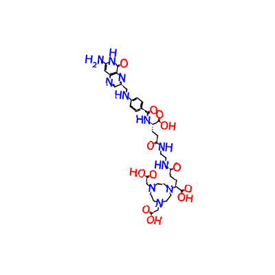 Nc1cc2ncc(CNc3ccc(C(=O)N[C@@H](CCC(=O)NCCNC(=O)CCC(C(=O)O)N4CCN(CC(=O)O)CCN(CC(=O)O)CC4)C(=O)O)cc3)nc2c(=O)[nH]1